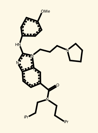 COc1ccc(Nc2nc3ccc(C(=O)N(CCC(C)C)CCC(C)C)cc3n2CCCN2CCCC2)cc1